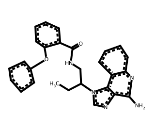 CCC(CNC(=O)c1ccccc1Oc1ccccc1)n1cnc2c(N)nc3ccccc3c21